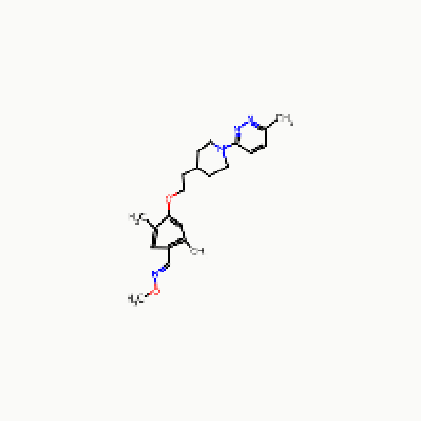 CON=Cc1cc(C)c(OCCC2CCN(c3ccc(C)nn3)CC2)cc1C